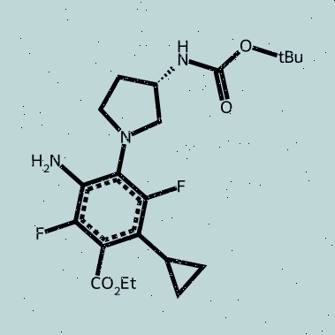 CCOC(=O)c1c(F)c(N)c(N2CC[C@H](NC(=O)OC(C)(C)C)C2)c(F)c1C1CC1